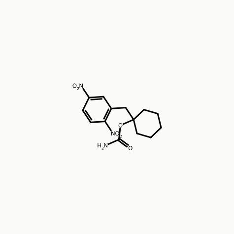 NC(=O)OC1(Cc2cc([N+](=O)[O-])ccc2[N+](=O)[O-])CCCCC1